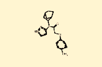 Cc1ccc(OCC(=O)N(c2cc[nH]n2)C2CC3CCC2C3)cc1